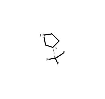 FC(F)(F)[C@H]1CCNC1